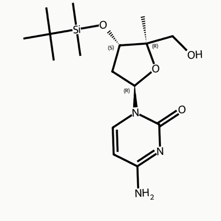 CC(C)(C)[Si](C)(C)O[C@H]1C[C@H](n2ccc(N)nc2=O)O[C@]1(C)CO